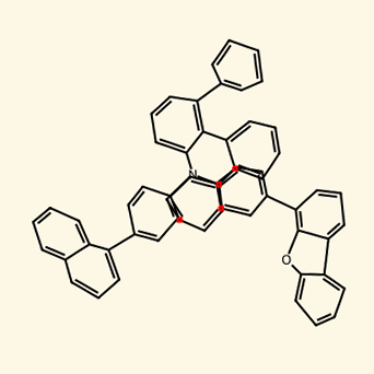 c1ccc(-c2ccccc2-c2c(-c3ccccc3)cccc2N(c2ccc(-c3cccc4ccccc34)cc2)c2ccc(-c3cccc4c3oc3ccccc34)cc2)cc1